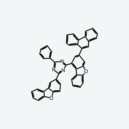 c1ccc(-c2nc(-c3ccc4oc5ccccc5c4c3)nc(-c3cc(-c4cc5ccccc5c5ccccc45)cc4oc5ccccc5c34)n2)cc1